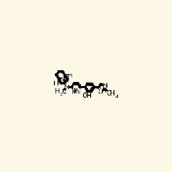 Cc1ncc(-c2ccc(-c3ccc(N(C)[C@H]4C[C@H]5CCC[C@@H](C4)N5)nn3)c(O)c2)o1